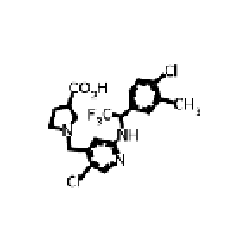 Cc1cc(C(Nc2cc(CN3CCC(C(=O)O)C3)c(Cl)cn2)C(F)(F)F)ccc1Cl